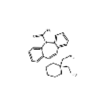 NC(=O)N1c2ccccc2C=Cc2ccccc21.NCC1(CC(=O)O)CCCCC1